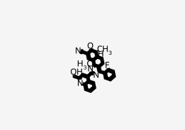 C[C@H]1C(=O)C(C#N)=C[C@@]2(C)c3nc(-c4cc(CO)nc5ccccc45)nc(-c4ccccc4F)c3CC[C@H]12